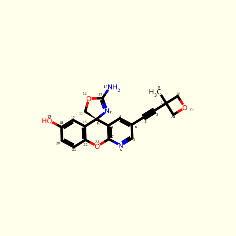 CC1(C#Cc2cnc3c(c2)[C@]2(COC(N)=N2)c2cc(O)ccc2O3)COC1